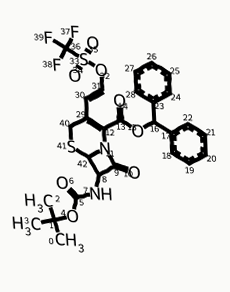 CC(C)(C)OC(=O)NC1C(=O)N2C(C(=O)OC(c3ccccc3)c3ccccc3)=C(C=COS(=O)(=O)C(F)(F)F)CSC12